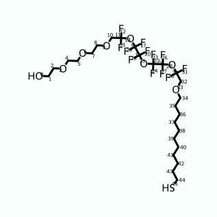 OCCOCCOCCOCC(F)(F)OC(F)(F)C(F)(F)OC(F)(F)C(F)(F)OC(F)(F)COCCCCCCCCCCCS